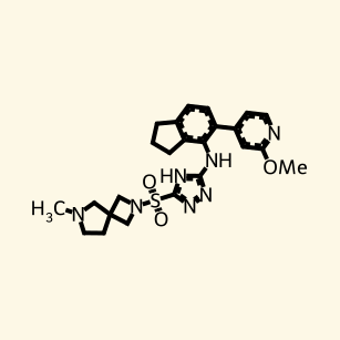 COc1cc(-c2ccc3c(c2Nc2nnc(S(=O)(=O)N4CC5(CCN(C)C5)C4)[nH]2)CCC3)ccn1